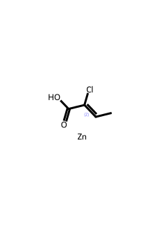 C/C=C(\Cl)C(=O)O.[Zn]